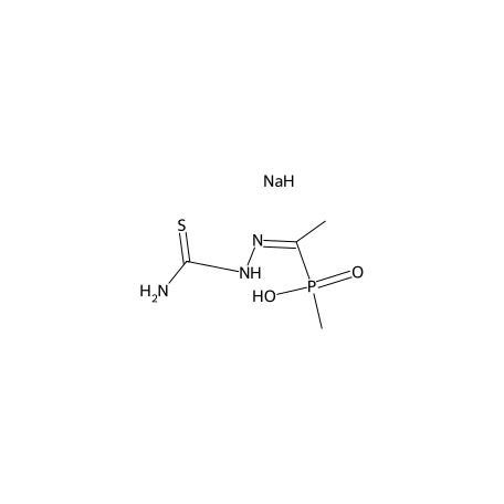 CC(=NNC(N)=S)P(C)(=O)O.[NaH]